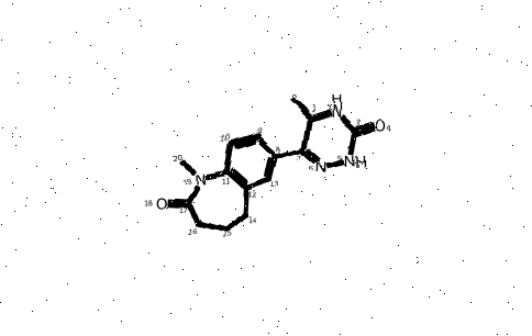 CC1NC(=O)NN=C1c1ccc2c(c1)CCCC(=O)N2C